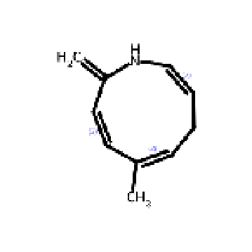 C=C1/C=C\C(C)=C/C/C=C\N1